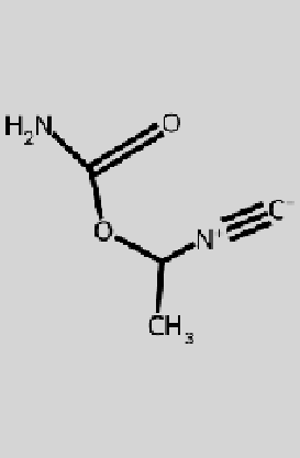 [C-]#[N+]C(C)OC(N)=O